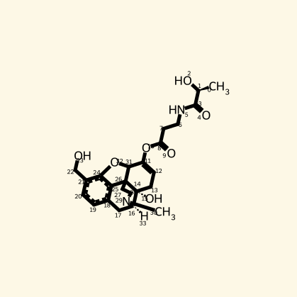 C[C@H](O)C(=O)NCCC(=O)OC1=CC[C@@]2(O)[C@H]3Cc4ccc(CO)c5c4C2(CCN3C)C1O5